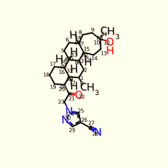 CC1C[C@H]2[C@@H](CC[C@@H]3CC[C@](C)(O)CC[C@@H]32)[C@@H]2CCC[C@H](C(=O)Cn3cc(C#N)cn3)[C@@H]12